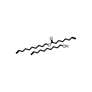 C=CCCCCCCCCO.C=CCCCCCCCCOC(=O)CCCCCC=C